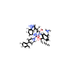 CNC(=O)c1ccc(CN(C)C)cc1NC(=O)[C@H](NC(=O)N1CCC(c2ccccc2C)CC1)[C@H](C)c1c[nH]c2ccccc12